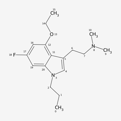 CCCn1cc(CCN(C)C)c2c(OCC)cc(F)cc21